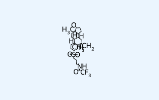 C=C1C[C@@H]2[C@H](CC[C@]3(C)C(=O)CC[C@@H]23)[C@@]2(C)CC[C@@H](S(=O)(=O)CCCNC(=O)C(F)(F)F)C[C@H]12